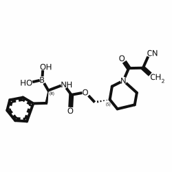 C=C(C#N)C(=O)N1CCC[C@H](COC(=O)N[C@@H](Cc2ccccc2)B(O)O)C1